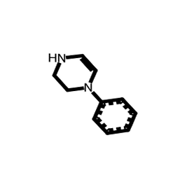 C1=CN(c2ccccc2)CCN1